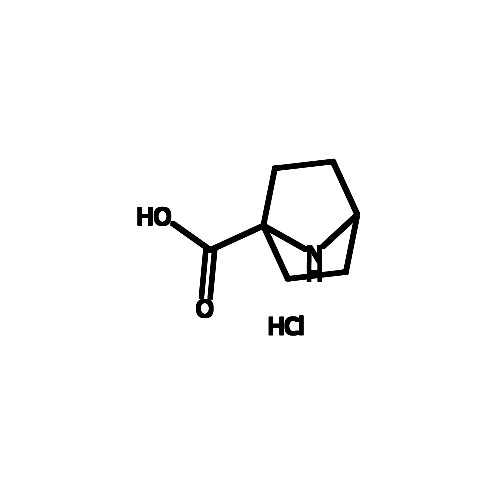 Cl.O=C(O)C12CCC(CC1)N2